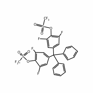 O=S(=O)(Oc1c(F)cc(C(c2ccccc2)(c2ccccc2)c2cc(F)c(OS(=O)(=O)C(F)(F)F)c(F)c2)cc1F)C(F)(F)F